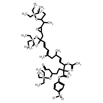 CCC(O[Si](CC)(CC)CC)C(C)C1OC1CC(C)(/C=C/C=C(\C)CC(C)/C=C/C(OC(C)=O)C(C)(CCC(CC=O)O[Si](CC)(CC)CC)C(=O)Oc1ccc([N+](=O)[O-])cc1)O[Si](CC)(CC)CC